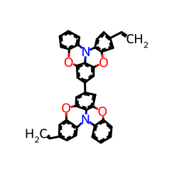 C=Cc1ccc2c(c1)Oc1cc(-c3cc4c5c(c3)Oc3cc(C=C)ccc3N5c3ccccc3O4)cc3c1N2c1ccccc1O3